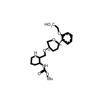 CC(C)(C)OC(=O)NC1CCCNC1CO[C@@H]1CC[C@H](c2ccccc2OCC(=O)O)OC1